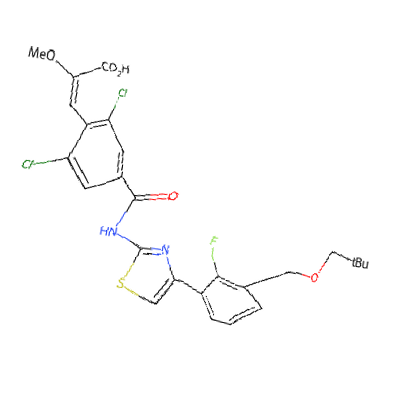 CO/C(=C/c1c(Cl)cc(C(=O)Nc2nc(-c3cccc(COCC(C)(C)C)c3F)cs2)cc1Cl)C(=O)O